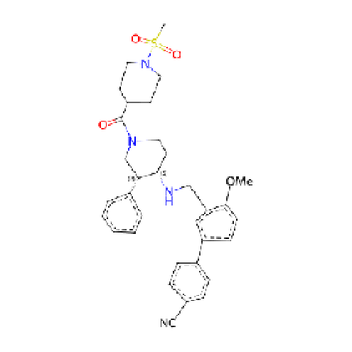 COc1ccc(-c2ccc(C#N)cc2)cc1CN[C@H]1CCN(C(=O)C2CCN(S(C)(=O)=O)CC2)C[C@H]1c1ccccc1